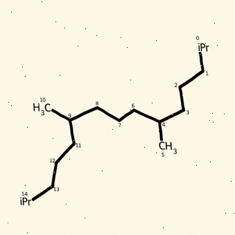 CC(C)CCCC(C)[CH]CCC(C)CCCC(C)C